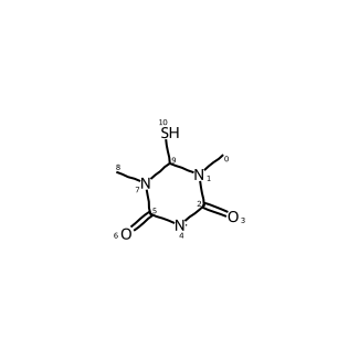 CN1C(=O)[N]C(=O)N(C)C1S